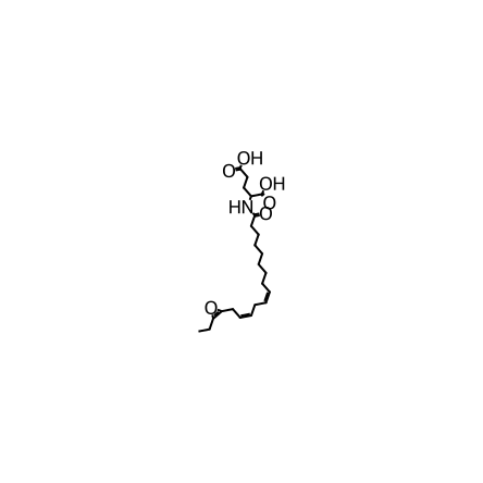 CCC1=C(C/C=C\C/C=C\CCCCCCCC(=O)NC(CCC(=O)O)C(=O)O)O1